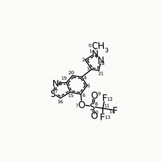 Cn1cc(-c2cc(OS(=O)(=O)C(F)(F)F)c3csnc3c2)cn1